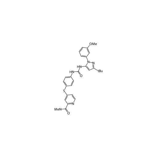 CNC(=O)c1cc(Sc2ccc(NC(=O)Nc3cc(C(C)(C)C)nn3-c3cccc(OC)c3)cc2)ccn1